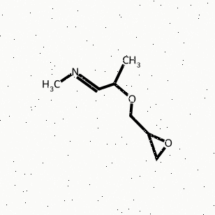 C/N=C/C(C)OCC1CO1